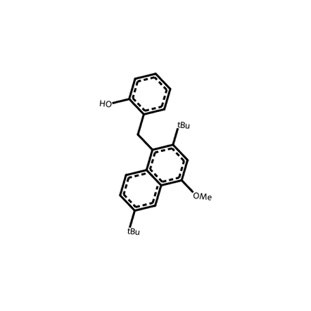 COc1cc(C(C)(C)C)c(Cc2ccccc2O)c2ccc(C(C)(C)C)cc12